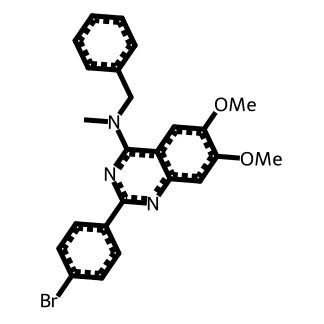 COc1cc2nc(-c3ccc(Br)cc3)nc(N(C)Cc3ccccc3)c2cc1OC